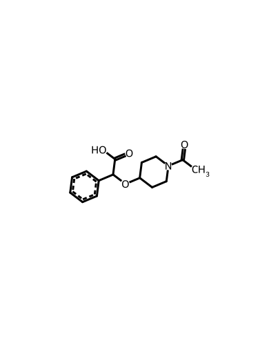 CC(=O)N1CCC(OC(C(=O)O)c2ccccc2)CC1